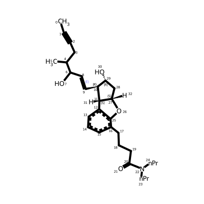 CC#CCC(C)C(O)/C=C/[C@@H]1[C@H]2c3cccc(CCCC(=O)N(CCC)CCC)c3O[C@H]2C[C@H]1O